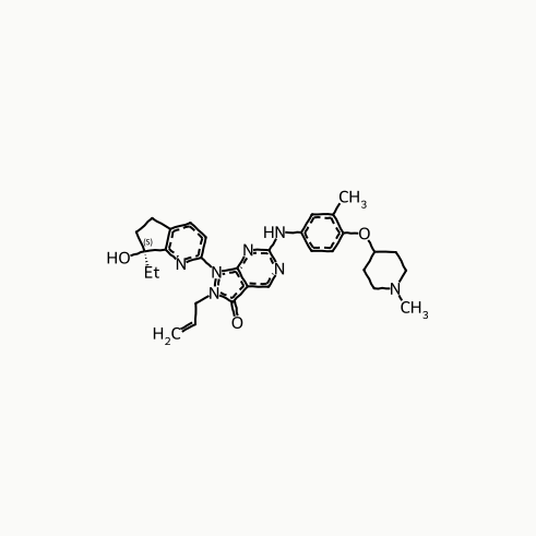 C=CCn1c(=O)c2cnc(Nc3ccc(OC4CCN(C)CC4)c(C)c3)nc2n1-c1ccc2c(n1)[C@](O)(CC)CC2